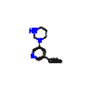 COc1cncc(N2CCCNC2)c1